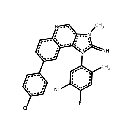 Cc1cc(F)c(C#N)cc1-n1c(=N)n(C)c2cnc3ccc(-c4ccc(Cl)cc4)cc3c21